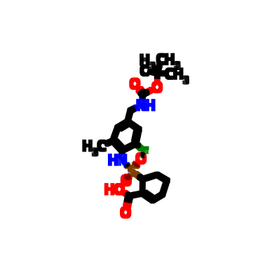 Cc1cc(CNC(=O)OC(C)(C)C)cc(F)c1NS(=O)(=O)C1CCCC=C1C(=O)O